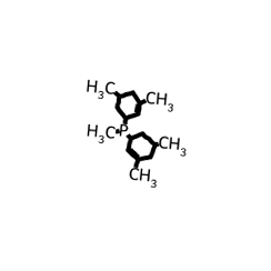 CC1=CC(P(C)C2C=C(C)CC(C)C2)CC(C)C1